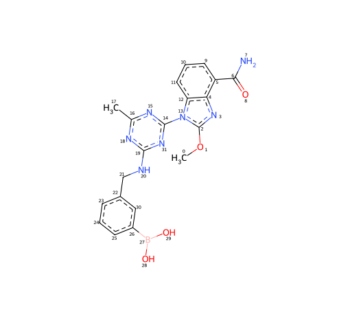 COc1nc2c(C(N)=O)cccc2n1-c1nc(C)nc(NCc2cccc(B(O)O)c2)n1